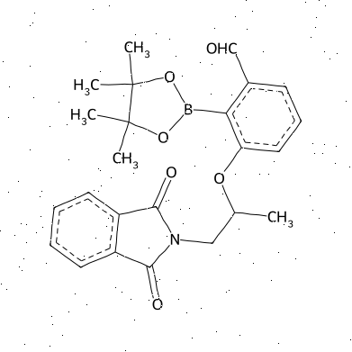 CC(CN1C(=O)c2ccccc2C1=O)Oc1cccc(C=O)c1B1OC(C)(C)C(C)(C)O1